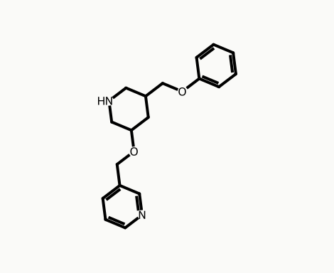 c1ccc(OCC2CNCC(OCc3cccnc3)C2)cc1